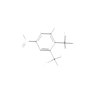 O=[N+]([O-])c1cc(Cl)c(C(F)(F)F)c(C(F)(F)F)c1